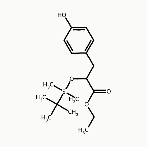 CCOC(=O)C(Cc1ccc(O)cc1)O[Si](C)(C)C(C)(C)C